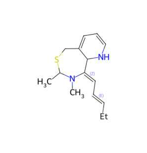 CC/C=C/C=C1/C2NC=CC=C2CSC(C)N1C